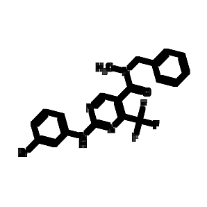 CN(Cc1ccccc1)C(=O)c1cnc(Nc2cccc(Br)c2)nc1C(F)(F)F